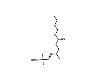 CCCCOC(=O)CCC(C)N=NC(C)(C)C#N